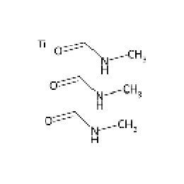 CNC=O.CNC=O.CNC=O.[Ti]